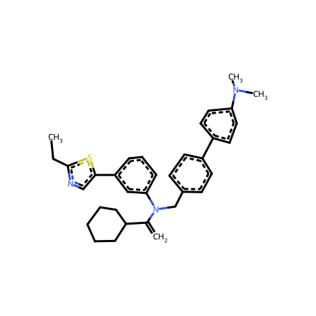 C=C(C1CCCCC1)N(Cc1ccc(-c2ccc(N(C)C)cc2)cc1)c1cccc(-c2cnc(CC)s2)c1